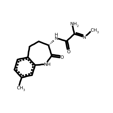 C/N=C(\N)C(=O)N[C@H]1CCc2ccc(C)cc2NC1=O